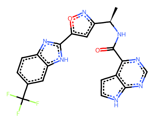 C[C@@H](NC(=O)c1ncnc2[nH]ccc12)c1cc(-c2nc3ccc(C(F)(F)F)cc3[nH]2)on1